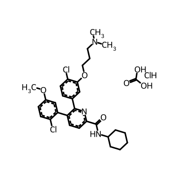 COc1ccc(Cl)c(-c2ccc(C(=O)NC3CCCCC3)nc2-c2ccc(Cl)c(OCCCN(C)C)c2)c1.Cl.O=C(O)O